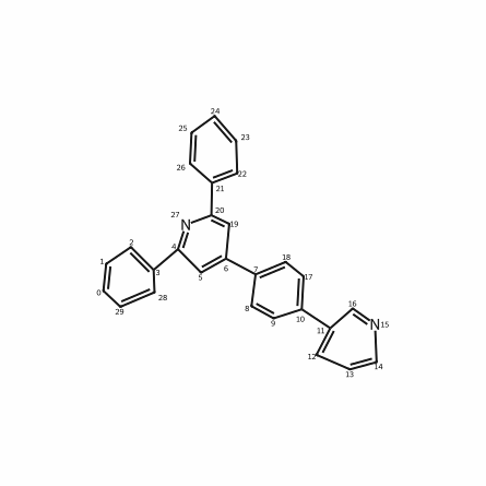 c1ccc(-c2cc(-c3ccc(-c4cccnc4)cc3)cc(-c3ccccc3)n2)cc1